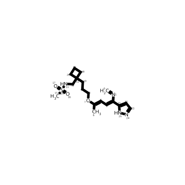 C=N/C(=C\C=C(/C)OCCCC1(CNS(C)(=O)=O)CCC1)c1ccn[nH]1